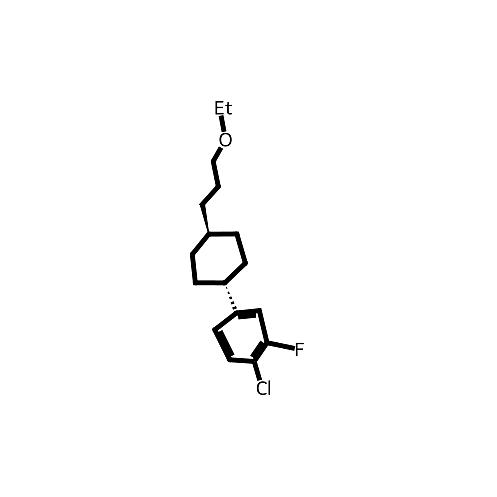 CCOCCC[C@H]1CC[C@H](c2ccc(Cl)c(F)c2)CC1